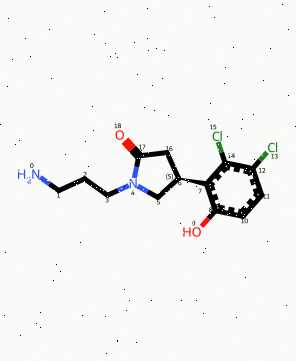 NCCCN1C[C@H](c2c(O)ccc(Cl)c2Cl)CC1=O